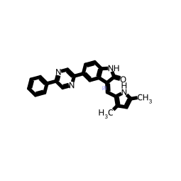 Cc1cc(C)c(/C=C2\C(=O)Nc3ccc(-c4cnc(-c5ccccc5)cn4)cc32)[nH]1